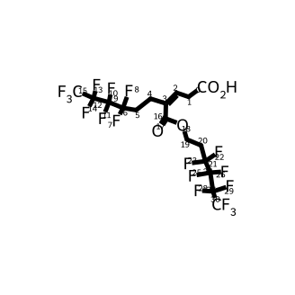 O=C(O)CC=C(CCC(F)(F)C(F)(F)C(F)(F)C(F)(F)F)C(=O)OCCC(F)(F)C(F)(F)C(F)(F)C(F)(F)F